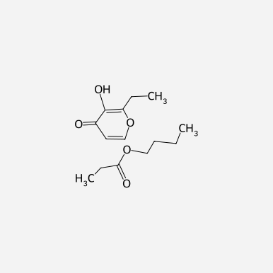 CCCCOC(=O)CC.CCc1occc(=O)c1O